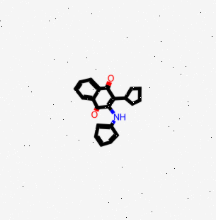 O=C1C(Nc2ccccc2)=C(C2CCCC2)C(=O)c2ccccc21